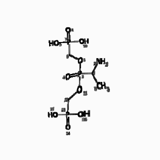 CC(N)P(=O)(OCP(=O)(O)O)OCP(=O)(O)O